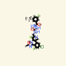 Cc1nc(-c2c(F)cc(Cl)cc2-c2cnc(CNC(=O)NNC(=O)c3cc(F)cc(C(F)(F)F)c3)c(F)c2)no1